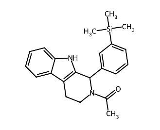 CC(=O)N1CCc2c([nH]c3ccccc23)C1c1cccc([Si](C)(C)C)c1